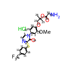 COc1cc(-n2ccnc(Sc3ccc(C(F)(F)F)cc3)c2=O)ccc1OCC(C)(C)OC(=O)CN.Cl